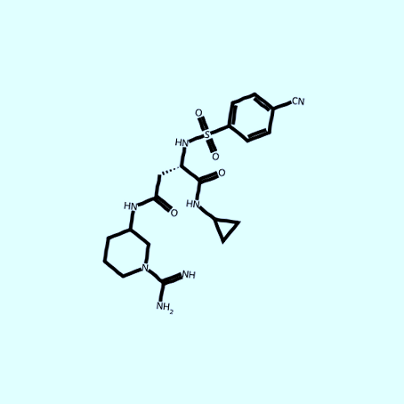 N#Cc1ccc(S(=O)(=O)N[C@@H](CC(=O)NC2CCCN(C(=N)N)C2)C(=O)NC2CC2)cc1